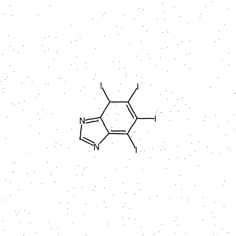 IC1=C2N=CN=C2C(I)C(I)=C1I